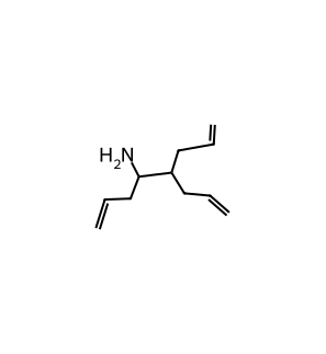 C=CCC(N)C(CC=C)CC=C